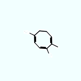 CCC1=C/C=C(/C#N)CC/C=C\1C